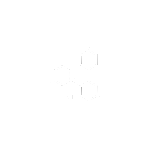 [KH].c1ccc(-c2ccccc2-c2ccccc2)cc1